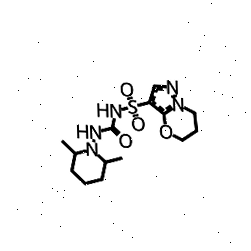 CC1CCCC(C)N1NC(=O)NS(=O)(=O)c1cnn2c1OCCC2